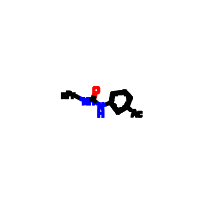 CCCNC(=O)Nc1cccc(C(C)=O)c1